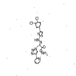 NOC(=O)/C(Cn1cc(-c2ccccn2)nn1)=N/Nc1nc(-c2ccc(Cl)c(Cl)c2)cs1